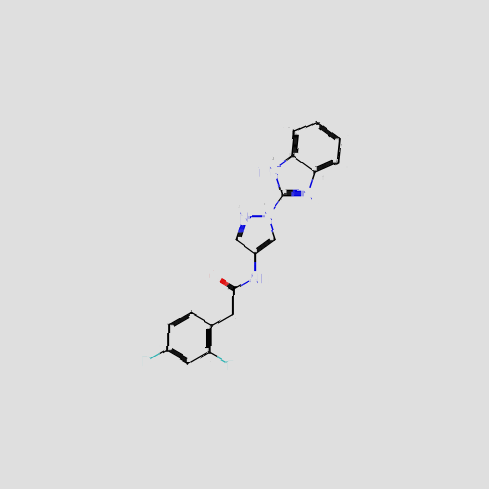 O=C(Cc1ccc(F)cc1F)Nc1cnn(-c2nc3ccccc3[nH]2)c1